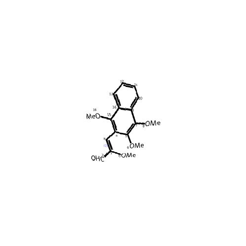 CO/C(C=O)=C\c1c(OC)c(OC)c2ccccc2c1OC